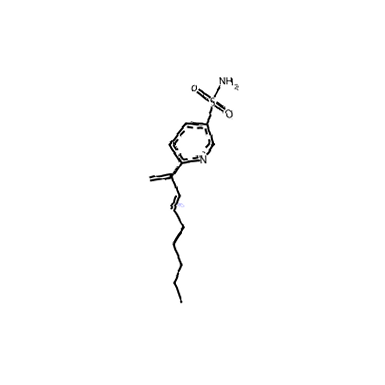 C=C(/C=C/CCCCC)c1ccc(S(N)(=O)=O)cn1